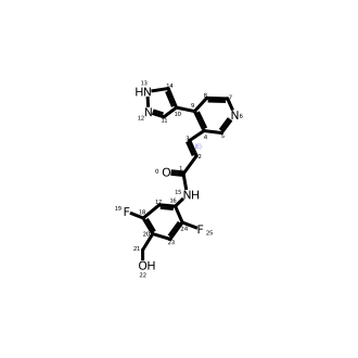 O=C(/C=C/c1cnccc1-c1cn[nH]c1)Nc1cc(F)c(CO)cc1F